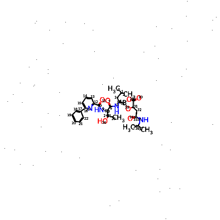 CC(C)C[C@H](NC(=O)[C@@H](NC(=O)c1cccc(-c2ccccc2)n1)[C@@H](C)O)B1OC(=O)C(CC(=O)NC(C)C)O1